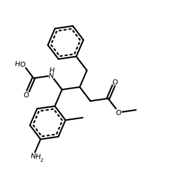 COC(=O)CC(Cc1ccccc1)C(NC(=O)O)c1ccc(N)cc1C